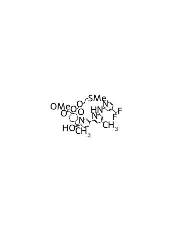 COC(=O)[C@]1(OC(=O)OCCSC)CC[C@@H]([C@@](C)(O)c2ccc(-c3cc(C)cc(Nc4cc(C(F)F)ccn4)n3)cn2)CC1